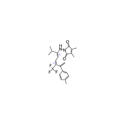 C=C(/C(=C\C=C(\NN1C(=O)C(C)=C(C)C1=O)C(C)C)C(F)(F)F)c1ccc(C)cc1